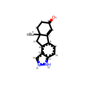 CCCCC12CCC(=O)C=C1c1ccc3[nH]ncc3c1C2